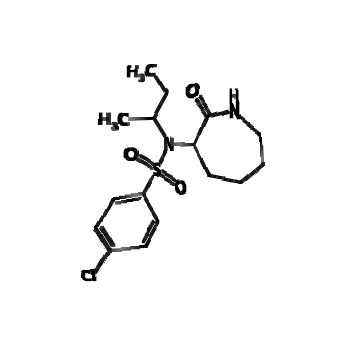 CCC(C)N(C1CCCCNC1=O)S(=O)(=O)c1ccc(Cl)cc1